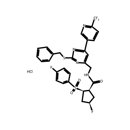 Cl.O=C(NCc1cc(-c2ccc(C(F)(F)F)nc2)nc(SCc2ccccc2)n1)[C@H]1C[C@@H](F)C[C@H]1S(=O)(=O)c1ccc(F)cc1